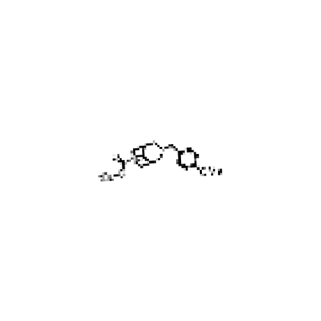 COc1ccc(CN2CC3CN(C(=O)OC(C)(C)C)CC(C2)C3(F)F)cc1